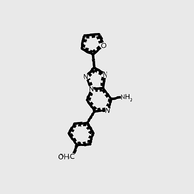 Nc1nc(-c2ccc(C=O)cc2)cn2nc(-c3ccco3)nc12